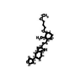 COCCCOc1ccnc(CSc2nc3cc(-c4ccoc4)ccc3[nH]2)c1C